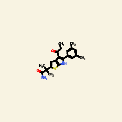 CCC(=O)c1c(-c2cc(C)cc(C)c2)[nH]c2sc(C(C)(C)C(N)=O)cc12